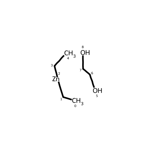 C[CH2][Zn][CH2]C.OCCO